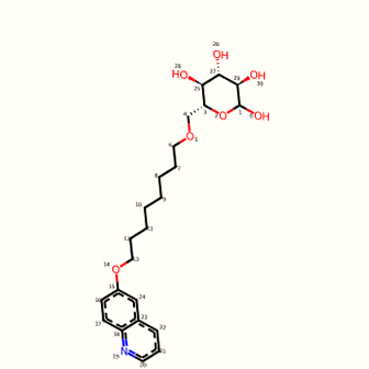 OC1O[C@H](COCCCCCCCCOc2ccc3ncccc3c2)[C@@H](O)[C@H](O)[C@H]1O